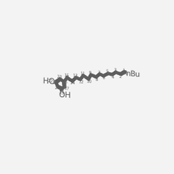 CCCCC=CCCCCCCCCCCCCCc1cc(O)cc(O)c1